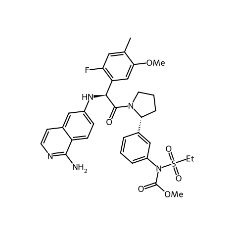 CCS(=O)(=O)N(C(=O)OC)c1cccc([C@H]2CCCN2C(=O)[C@@H](Nc2ccc3c(N)nccc3c2)c2cc(OC)c(C)cc2F)c1